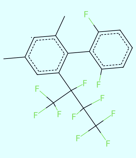 Cc1[c]c(C)c(-c2c(F)cccc2F)c(C(F)(C(F)(F)F)C(F)(F)C(F)(F)F)c1